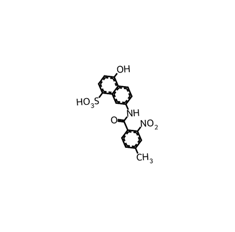 Cc1ccc(C(=O)Nc2ccc3c(O)ccc(S(=O)(=O)O)c3c2)c([N+](=O)[O-])c1